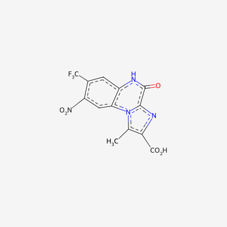 Cc1c(C(=O)O)nc2c(=O)[nH]c3cc(C(F)(F)F)c([N+](=O)[O-])cc3n12